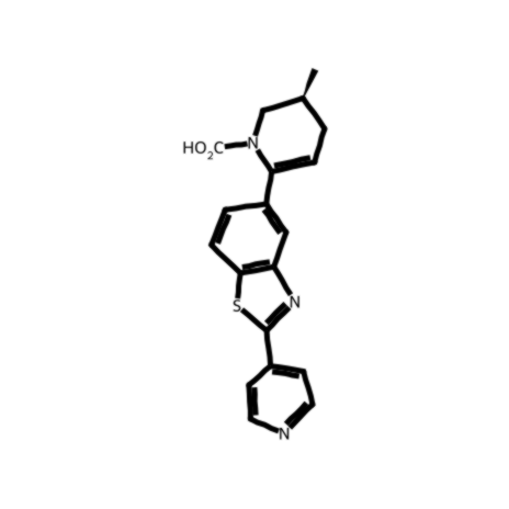 C[C@H]1CC=C(c2ccc3sc(-c4ccncc4)nc3c2)N(C(=O)O)C1